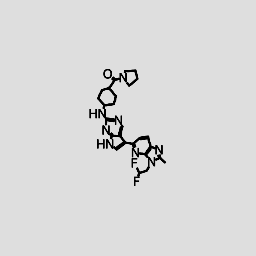 Cc1nc2ccc(-c3c[nH]c4nc(NC5CCC(C(=O)N6CCCC6)CC5)ncc34)nc2n1CC(F)F